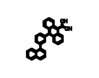 OB(O)c1c2ccc#cc2c(-c2cccc(-c3cccc4ccccc34)c2)c2ccccc12